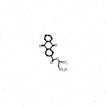 O=C(OC(CS(=O)(=O)O)C(F)(F)F)c1ccc2c(c1)C(=O)c1ccccc1C2=O